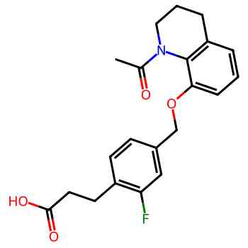 CC(=O)N1CCCc2cccc(OCc3ccc(CCC(=O)O)c(F)c3)c21